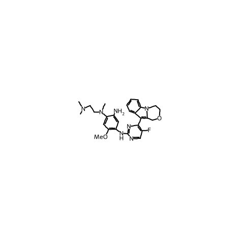 COc1cc(N(C)CCN(C)C)c(N)cc1Nc1ncc(F)c(-c2c3n(c4ccccc24)CCOC3)n1